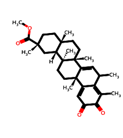 COC(=O)[C@]1(C)CC[C@]2(C)CC[C@]3(C)C4=CC(C)C5=C(C)C(=O)C(=O)C=C5[C@]4(C)CC[C@@]3(C)[C@@H]2C1